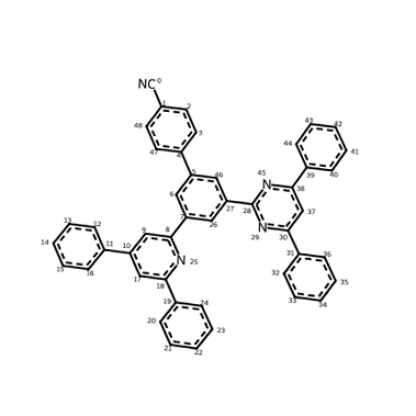 N#Cc1ccc(-c2cc(-c3cc(-c4ccccc4)cc(-c4ccccc4)n3)cc(-c3nc(-c4ccccc4)cc(-c4ccccc4)n3)c2)cc1